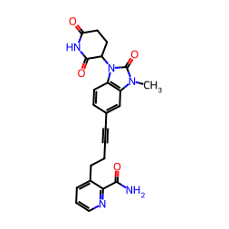 Cn1c(=O)n(C2CCC(=O)NC2=O)c2ccc(C#CCCc3cccnc3C(N)=O)cc21